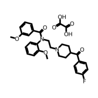 COc1cccc(C(=O)N(CCN2CCC(C(=O)c3ccc(F)cc3)CC2)c2ccccc2OC)c1.O=C(O)C(=O)O